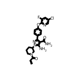 C=CC(=O)N1CCCC(n2nc(-c3ccc(Oc4ncc(Cl)cc4F)cc3)c(C(N)=O)c2N)C1